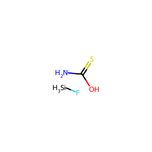 F[SiH3].NC(O)=S